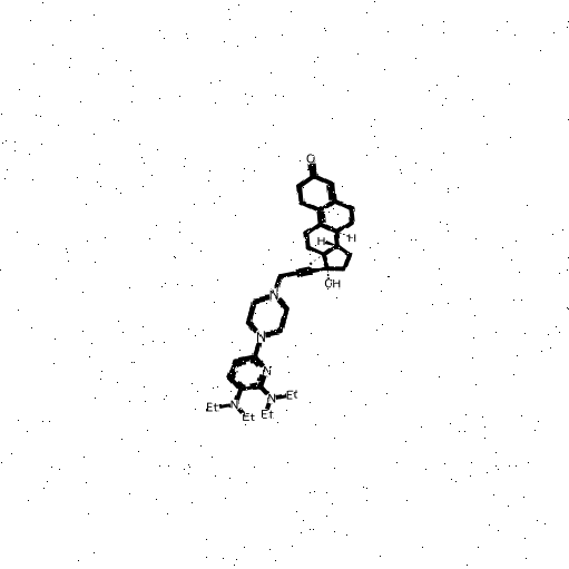 CCN(CC)c1ccc(N2CCN(CC#C[C@]3(O)CC[C@H]4[C@@H]5CCC6=CC(=O)CCC6=C5CC[C@@]43C)CC2)nc1N(CC)CC